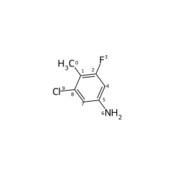 Cc1c(F)cc(N)cc1Cl